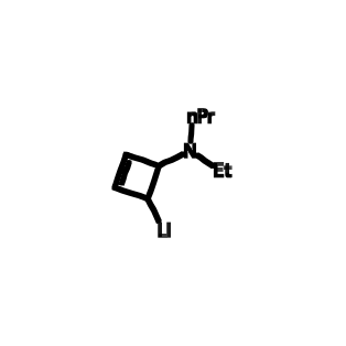 [Li][CH]1C=CC1N(CC)CCC